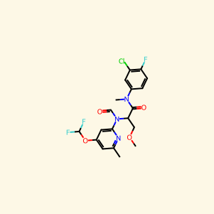 COCC(C(=O)N(C)c1ccc(F)c(Cl)c1)N(C=O)c1cc(OC(F)F)cc(C)n1